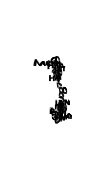 COC(=O)N[C@H](C(=O)N1CCC[C@H]1c1ncc(-c2ccc3c(c2)C(=O)c2cc(-c4cnc([C@@H]5CCCN5C(=O)[C@@H](NC(=O)OC)C(C)C)[nH]4)ccc2-3)[nH]1)C(C)C